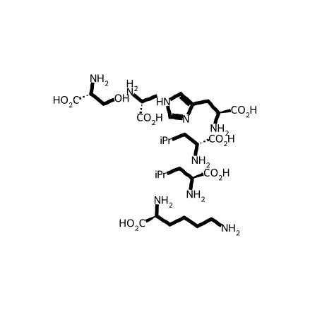 CC(C)C[C@@H](N)C(=O)O.CC(C)C[C@H](N)C(=O)O.C[C@@H](N)C(=O)O.NCCCC[C@H](N)C(=O)O.N[C@@H](Cc1c[nH]cn1)C(=O)O.N[C@H](CO)C(=O)O